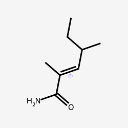 CCC(C)/C=C(\C)C(N)=O